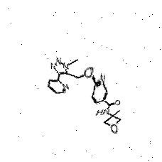 Cn1nnc(-c2ccccn2)c1COc1ccc(C(=O)NC2(C)COC2)cn1